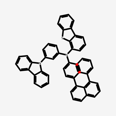 c1ccc(-c2cccc3cccc(-c4ccc(N(c5cccc(-n6c7ccccc7c7ccccc76)c5)c5cccc6c5sc5ccccc56)cc4)c23)cc1